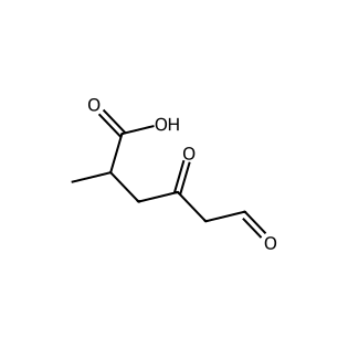 CC(CC(=O)CC=O)C(=O)O